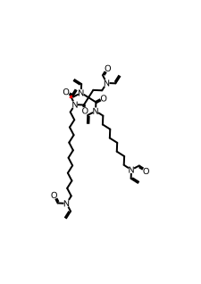 C=CN(C=O)CCCCCCCCCCCCN(C=C)C(=O)C(CCN(C=C)C=O)(C(=O)N(C=C)CCCCCCCCN(C=C)C=O)N(C=C)C=O